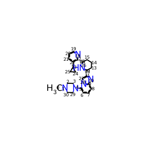 CN1CCN(c2cccc3nc([C@H]4CCC[C@@H](c5ncccc5C5CC5)N4)cn23)CC1